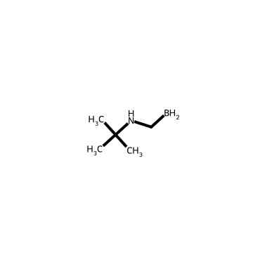 BCNC(C)(C)C